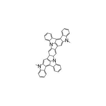 Cn1c2ccccc2c2c3c4ccccc4n4c3c(cc21)C1C=c2c(c3cc5c(c6ccccc6n5C)c5c6ccccc6n2c35)=CC14